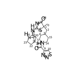 CC1(CC2CCN(C(=O)c3csnn3)CC2)SC(N[C@H]2C[C@H]3CC[C@H]2C3)=NC1=O